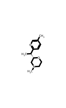 Cc1ccc(C(C)[C@H]2CN(C)CCO2)nc1